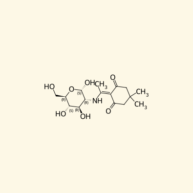 CC(N[C@@H]1[C@@H](O)[C@H](O)[C@@H](CO)O[C@@H]1O)=C1C(=O)CC(C)(C)CC1=O